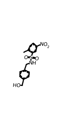 Cc1ccc([N+](=O)[O-])cc1S(=O)(=O)NCc1ccc(CO)cc1